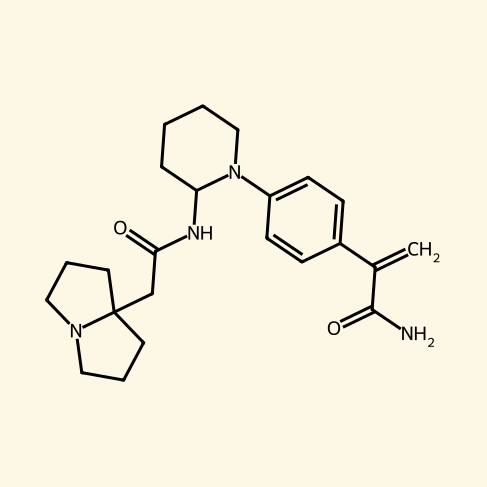 C=C(C(N)=O)c1ccc(N2CCCCC2NC(=O)CC23CCCN2CCC3)cc1